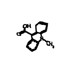 CN1C2=CC=CCC2=C(C(=O)O)c2ccccc21